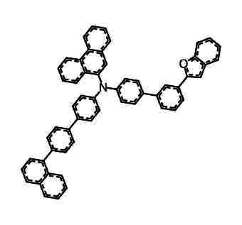 c1cc(-c2ccc(N(c3ccc(-c4ccc(-c5cccc6ccccc56)cc4)cc3)c3cc4ccccc4c4ccccc34)cc2)cc(-c2cc3ccccc3o2)c1